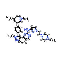 CC1=CC(c2ccc(-c3c4c(nn3C)CCc3cnc(Nc5ccn(CCN6CCN(C)CC6)n5)nc3-4)cc2)=CN(C)CC1